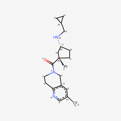 CC(C)[C@]1(C(=O)N2CCc3ncc(C(F)(F)F)cc3C2)CC[C@@H](NCC2CC2)C1